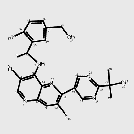 CC(Nc1c(Cl)cnc2cc(F)c(-c3cnc(C(C)(C)O)nc3)nc12)c1cc(CO)ccc1F